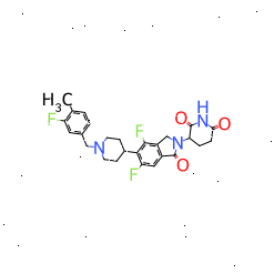 Cc1ccc(CN2CCC(c3c(F)cc4c(c3F)CN(C3CCC(=O)NC3=O)C4=O)CC2)cc1F